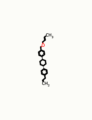 C=CCc1ccc([C@H]2CC[C@H](c3ccc(COCC=CC)cc3)CC2)cc1